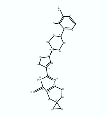 Cc1c(Cl)cccc1N1CCN([C@H]2C=C(c3nc4c(c(=O)[nH]3)CC3(CC4)CC3)CC2)CC1